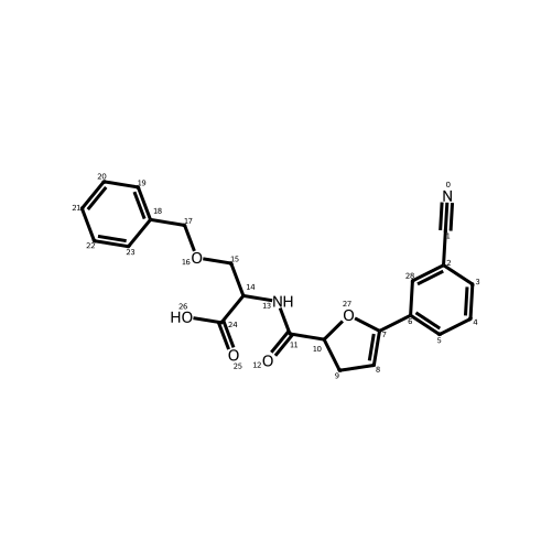 N#Cc1cccc(C2=CCC(C(=O)NC(COCc3ccccc3)C(=O)O)O2)c1